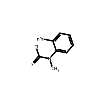 CCCc1ccccc1N(C)C(=S)Cl